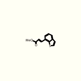 COC(=O)C=Cc1cccc2ccsc12